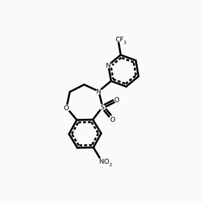 O=[N+]([O-])c1ccc2c(c1)S(=O)(=O)N(c1cccc(C(F)(F)F)n1)CCO2